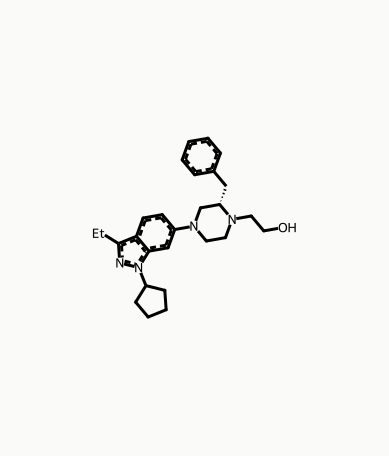 CCc1nn(C2CCCC2)c2cc(N3CCN(CCO)[C@@H](Cc4ccccc4)C3)ccc12